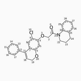 O=C(COc1cc2c(cc1Cl)C(c1ccccc1)=CCO2)N1CCCc2ccccc21